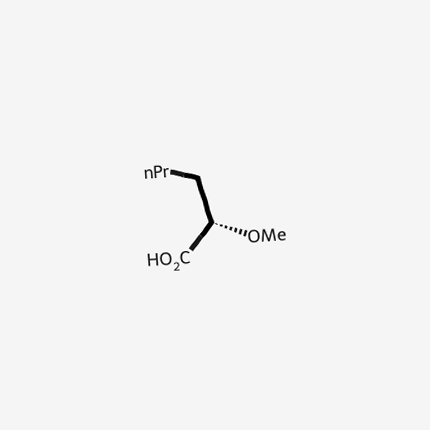 CCCC[C@H](OC)C(=O)O